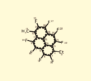 CCc1c(F)c(F)c2c(F)c(F)c3c(C)c(F)c(F)c4c(F)c(F)c1c2c34